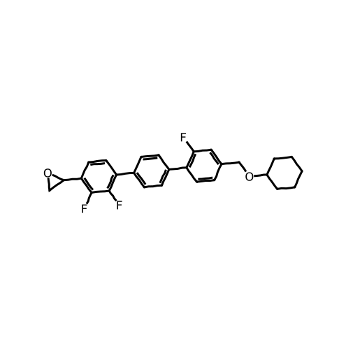 Fc1cc(COC2CCCCC2)ccc1-c1ccc(-c2ccc(C3CO3)c(F)c2F)cc1